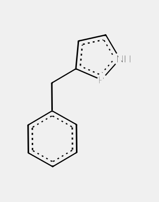 c1ccc(Cc2cc[nH]p2)cc1